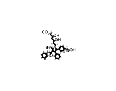 CC(C)c1c(C(=O)Nc2ccccc2)c(-c2ccccc2)c(-c2ccc(OBO)cc2)n1CC[C@@H](O)C[C@@H](O)CC(=O)O